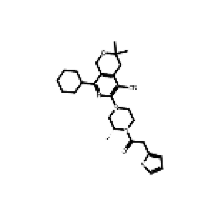 C[C@@H]1CN(c2nc(C3CCCCC3)c3c(c2C#N)CC(C)(C)OC3)CCN1C(=O)Cc1cccs1